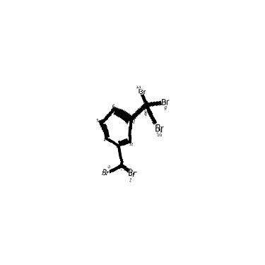 BrC(Br)c1cccc(C(Br)(Br)Br)c1